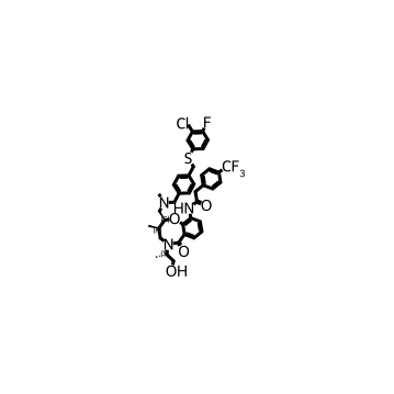 C[C@@H]1CN([C@@H](C)CO)C(=O)c2cccc(NC(=O)Cc3ccc(C(F)(F)F)cc3)c2O[C@@H]1CN(C)Cc1ccc(CSc2ccc(F)c(Cl)c2)cc1